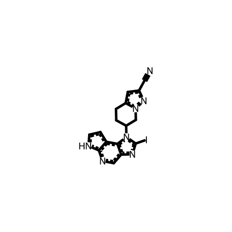 N#Cc1cc2n(n1)CC(n1c(I)nc3cnc4[nH]ccc4c31)CC2